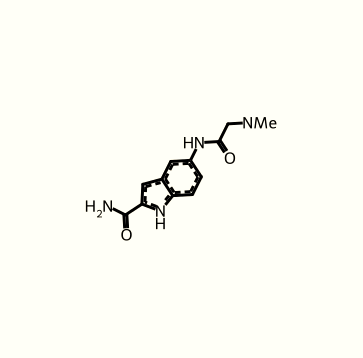 CNCC(=O)Nc1ccc2[nH]c(C(N)=O)cc2c1